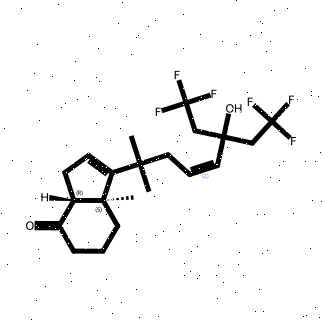 CC(C)(C/C=C\C(O)(CC(F)(F)F)CC(F)(F)F)C1=CC[C@H]2C(=O)CCC[C@]12C